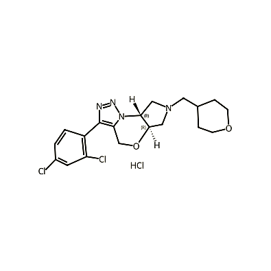 Cl.Clc1ccc(-c2nnn3c2CO[C@@H]2CN(CC4CCOCC4)C[C@H]23)c(Cl)c1